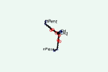 CCCCC/C=C\C/C=C\CCCCCCCC(=O)OCCCCOc1cc(CN(C)C)cc(OCCCCOC(=O)CCCCCCC/C=C\C/C=C\CCCCC)c1